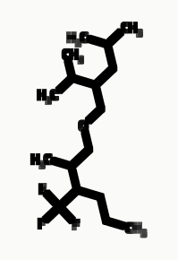 CCCC(C(C)COCC(CC(C)C)C(C)C)C(F)(F)F